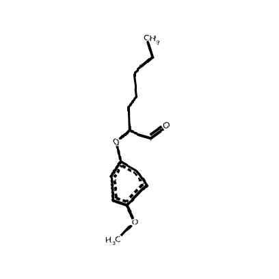 CCCCCC([C]=O)Oc1ccc(OC)cc1